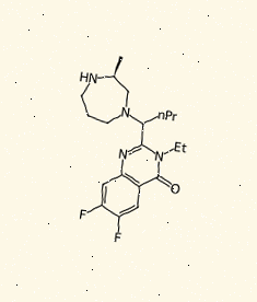 CCCC(c1nc2cc(F)c(F)cc2c(=O)n1CC)N1CCCN[C@@H](C)C1